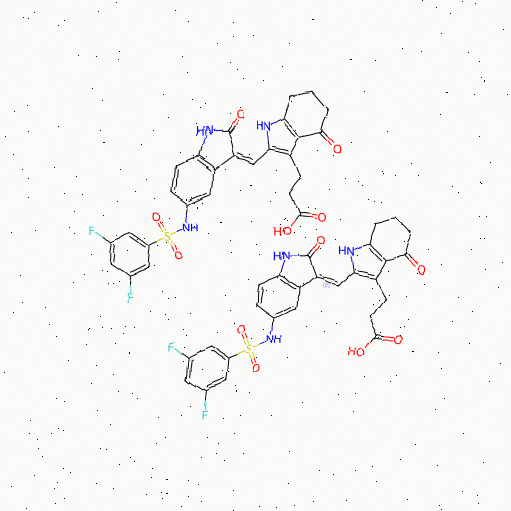 O=C(O)CCc1c(/C=C2\C(=O)Nc3ccc(NS(=O)(=O)c4cc(F)cc(F)c4)cc32)[nH]c2c1C(=O)CCC2.O=C(O)CCc1c(C=C2C(=O)Nc3ccc(NS(=O)(=O)c4cc(F)cc(F)c4)cc32)[nH]c2c1C(=O)CCC2